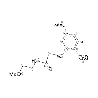 COCCNC(=O)COc1cc(OC)ccc1C=O